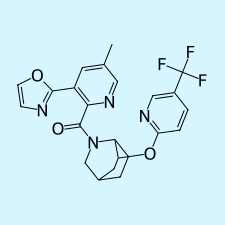 Cc1cnc(C(=O)N2CC3CCC2C(Oc2ccc(C(F)(F)F)cn2)C3)c(-c2ncco2)c1